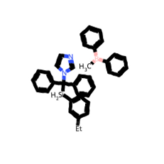 CB(c1ccccc1)c1ccccc1.CCc1cccc([SiH2]C(c2ccccc2)(c2ccccc2)n2ccnc2)c1